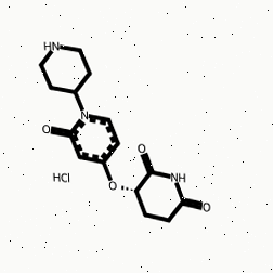 Cl.O=C1CC[C@H](Oc2ccn(C3CCNCC3)c(=O)c2)C(=O)N1